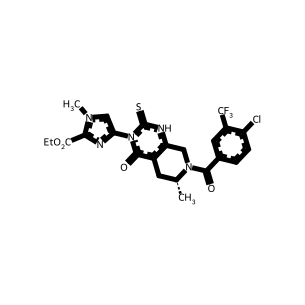 CCOC(=O)c1nc(-n2c(=S)[nH]c3c(c2=O)C[C@@H](C)N(C(=O)c2ccc(Cl)c(C(F)(F)F)c2)C3)cn1C